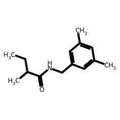 CCC(C)C(=O)NCc1cc(C)cc(C)c1